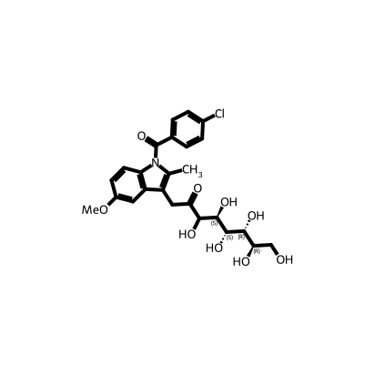 COc1ccc2c(c1)c(CC(=O)C(O)[C@@H](O)[C@@H](O)[C@H](O)[C@H](O)CO)c(C)n2C(=O)c1ccc(Cl)cc1